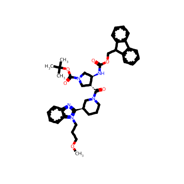 COCCCn1c([C@@H]2CCCN(C(=O)[C@@H]3CN(C(=O)OC(C)(C)C)C[C@H]3NC(=O)OCC3c4ccccc4-c4ccccc43)C2)nc2ccccc21